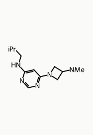 CNC1CN(c2cc(NCC(C)C)ncn2)C1